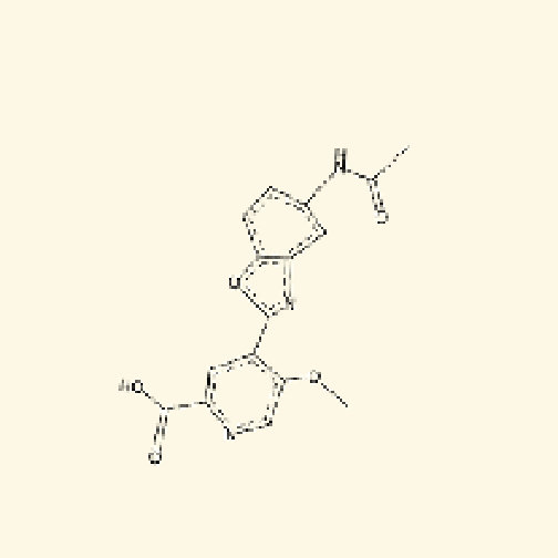 COc1cnc(C(=O)O)cc1-c1nc2cc(NC(C)=O)ccc2o1